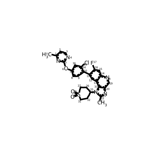 Cc1ccnc(Oc2ccc(-c3cc4c(cc3F)ncc3nc(C)n(C5CCS(=O)(=O)CC5)c34)c(Cl)c2)n1